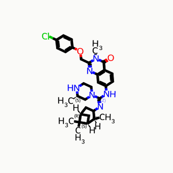 C[C@@H]1C(/N=C(/Nc2ccc3c(=O)n(C)c(COc4ccc(Cl)cc4)nc3c2)N2CCN[C@@H](C)C2)C[C@H]2C[C@@H]1C2(C)C